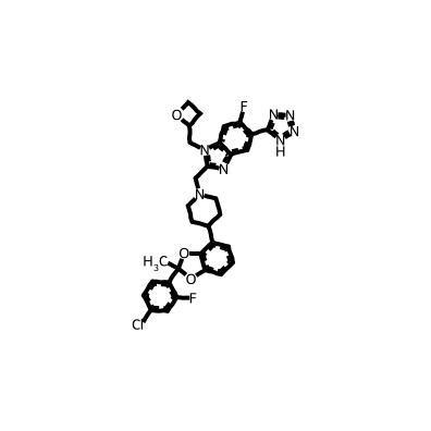 CC1(c2ccc(Cl)cc2F)Oc2cccc(C3CCN(Cc4nc5cc(-c6nnn[nH]6)c(F)cc5n4CC4CCO4)CC3)c2O1